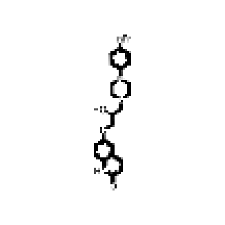 CCCc1ccc(N2CCN(C[C@H](O)COc3ccc4[nH]c(=O)ccc4c3)CC2)cc1